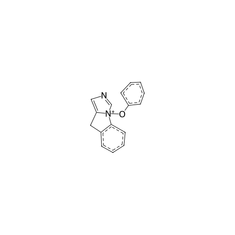 C1=NC=C2Cc3ccccc3[N+]12Oc1ccccc1